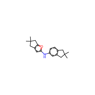 CC1(C)Cc2ccc(Nc3cc4c(o3)CC(C)(C)C4)cc2C1